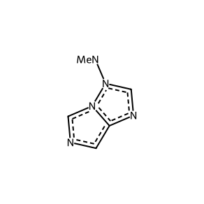 CNn1cnc2cncn21